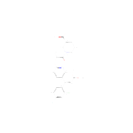 CC(Oc1ccc2c(-c3ccc(F)cc3Cl)cc(=O)oc2n1)C(=O)N1CCC[C@H](C(=O)O)C1